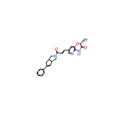 CC(C)C1Oc2cc(/C=C/C(=O)N3CC4C=C(c5ccccc5)CC4C3)cnc2NC1=O